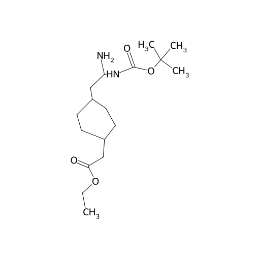 CCOC(=O)CC1CCC(CC(N)NC(=O)OC(C)(C)C)CC1